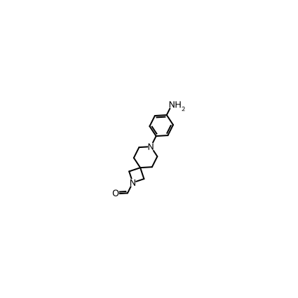 Nc1ccc(N2CCC3(CC2)CN(C=O)C3)cc1